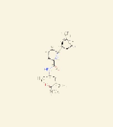 CNC(=O)C(C)CC(C)NC(=O)c1cccc(-c2cccc(C(F)(F)F)c2)n1